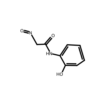 O=NCC(=O)Nc1ccccc1O